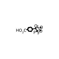 O=C(O)c1ccc(C(=O)C(F)(F)S(=O)(=O)F)cc1